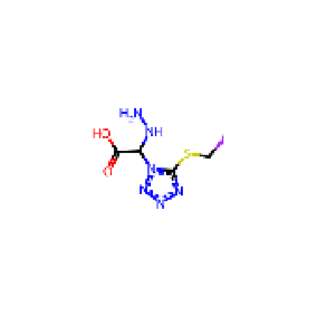 NNC(C(=O)O)n1nnnc1SCI